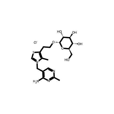 Cc1ncc(C[n+]2csc(CCO[C@H]3O[C@H](CO)[C@@H](O)[C@H](O)[C@H]3O)c2C)c(N)n1.[Cl-]